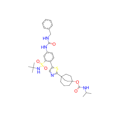 CC(C)NC(=O)OC12CCCC(c3ncc(-c4ccc(NC(=O)NCc5ccccc5)cc4S(=O)(=O)NC(C)(C)C)s3)(CC1)CC2